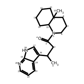 CC(CC(=O)N1CCCC2(C)CCCCC12)c1c[nH]c2ncccc12